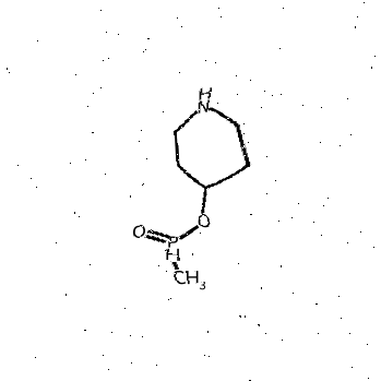 C[PH](=O)OC1CCNCC1